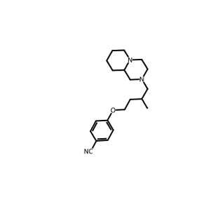 CC(CCOc1ccc(C#N)cc1)CN1CCN2CCCCC2C1